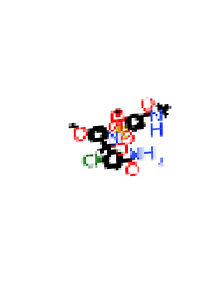 CCOc1ccc2c(c1)C(C)(c1cc(C(N)=O)ccc1Cl)C(=O)N2S(=O)(=O)c1ccc(C(=O)NC(C)(C)C)cc1OC